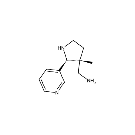 C[C@]1(CN)CCN[C@@H]1c1cccnc1